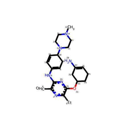 CCc1nc(C=O)c(NC2=CCC(N3CCN(C)CC3)C=C2)nc1OC1CCC=C(N)C1